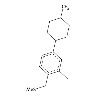 CSCc1ccc(C2CCC(C(F)(F)F)CC2)cc1C